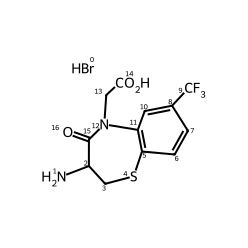 Br.NC1CSc2ccc(C(F)(F)F)cc2N(CC(=O)O)C1=O